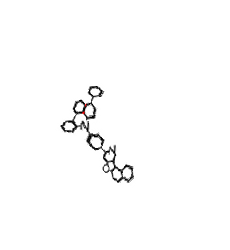 c1ccc(-c2ccc(N(c3ccc(-c4cc5oc6ccc7ccccc7c6c5cn4)cc3)c3ccccc3-c3ccccc3)cc2)cc1